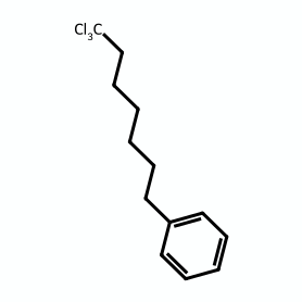 ClC(Cl)(Cl)CCCCCCc1ccccc1